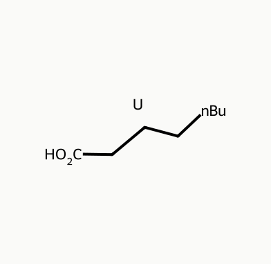 CCCCCCCC(=O)O.[U]